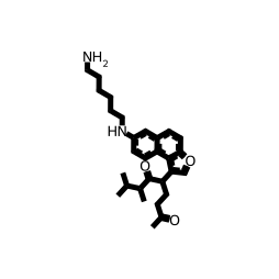 CC(=O)CCC(C(=O)C(C)C(C)C)c1coc2ccc3cc(NCCCCCCN)ccc3c12